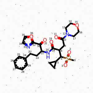 CS(=O)(=O)C(C1CC1)C(CC(=O)N1CCOCC1)C(=O)NC(CCc1ccccc1)C(=O)c1ncco1